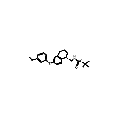 CCc1cccc(Sc2ccc3c(c2)CCC[C@H]3CNC(=O)OC(C)(C)C)c1